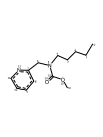 CCCCCN(Cc1ccccn1)C(=O)OC